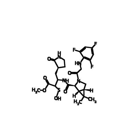 COC(=O)C(SO)C(C[C@@H]1CCNC1=O)NC(=O)[C@@H]1[C@@H]2[C@H](CN1C(=O)CNc1c(F)cc(F)cc1F)C2(C)C